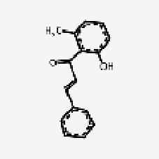 Cc1cccc(O)c1C(=O)C=Cc1ccccc1